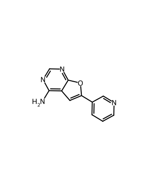 Nc1ncnc2oc(-c3cccnc3)cc12